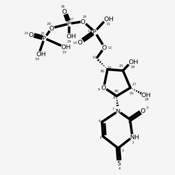 O=c1[nH]c(=S)ccn1[C@@H]1O[C@H](COP(=O)(O)OP(=O)(O)OP(=O)(O)O)C(O)[C@@H]1O